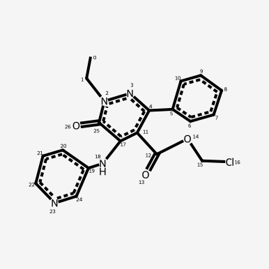 CCn1nc(-c2ccccc2)c(C(=O)OCCl)c(Nc2cccnc2)c1=O